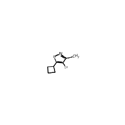 CCc1c(C)noc1C1CCC1